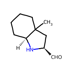 CC12CCCC[C@@H]1N[C@H](C=O)C2